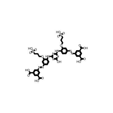 O=C(O)c1cc(N=Nc2ccc(Nc3nc(O)nc(Nc4ccc(N=Nc5cc(C(=O)O)cc(C(=O)O)c5)cc4OCCCS(=O)(=O)O)n3)c(OCCCS(=O)(=O)O)c2)cc(C(=O)O)c1